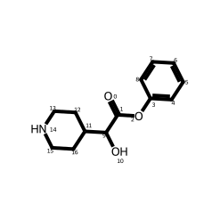 O=C(Oc1ccccc1)C(O)C1CCNCC1